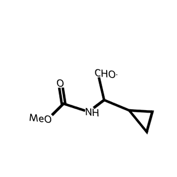 COC(=O)NC([C]=O)C1CC1